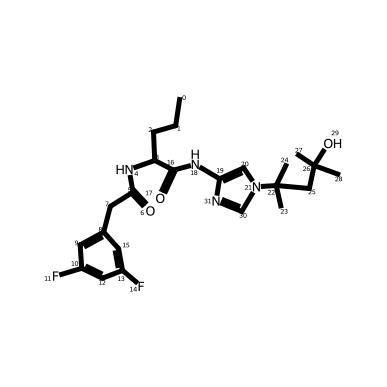 CCCC(NC(=O)Cc1cc(F)cc(F)c1)C(=O)Nc1cn(C(C)(C)CC(C)(C)O)cn1